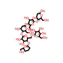 OCC1CCC[C@H](O[C@@H]2C(CO[C@H]3OC(CO)[C@H](O)C(O)C3O)O[C@@H](O[C@@H]3C(CO)O[C@H](O[C@@H]4C(CO)O[C@@H](O[C@H]5CC[C@@H](O)OC5CO)C(O)C4O)C[C@@H]3O)C(O)C2O)O1